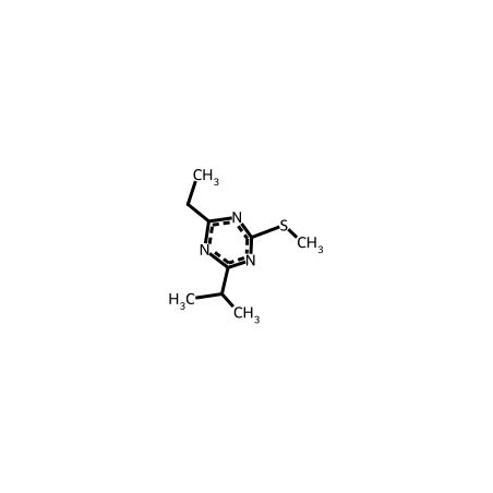 CCc1nc(SC)nc(C(C)C)n1